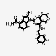 CCc1cc2c(C(N)=O)cccc2n1-c1nc2c(c(NCc3ccccc3)n1)COCC2